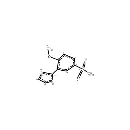 COc1ccc(S(C)(=O)=O)cc1-c1nccs1